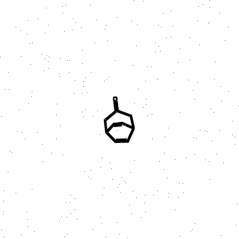 O=C1CC2C=CC(C=C2)C1